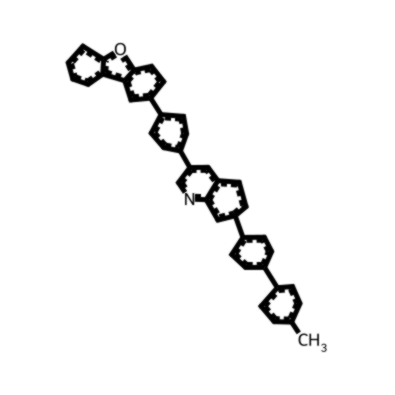 Cc1ccc(-c2ccc(-c3ccc4cc(-c5ccc(-c6ccc7oc8ccccc8c7c6)cc5)cnc4c3)cc2)cc1